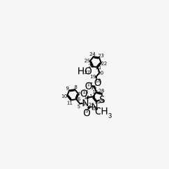 Cn1c(=O)n(Cc2ccccc2)c(=O)c2c(C(=O)OCCc3ccccc3O)csc21